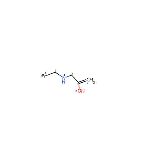 C=C(O)CNCC(C)C